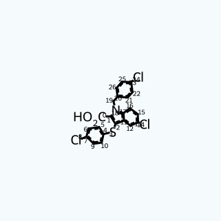 O=C(O)c1c(Sc2ccc(Cl)cc2)c2cc(Cl)ccc2n1Cc1ccc(Cl)cc1